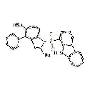 CCCCc1ccc2c(c1-c1ccccc1)C=C(C(C)CC)[CH]2[Zr]([Cl])([Cl])[c]1cccc2c1[SiH2]c1ccccc1-2